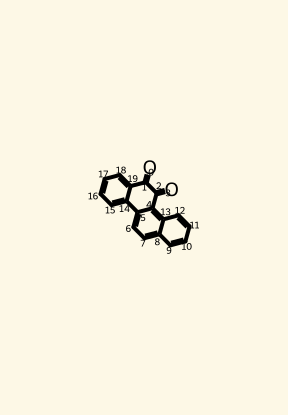 O=C1C(=O)c2c(ccc3ccccc23)-c2ccccc21